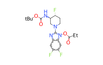 CCC(=O)On1c(N2CC[C@@H](F)[C@H](NC(=O)OC(C)(C)C)C2)nc2cc(F)c(F)cc21